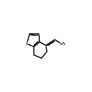 CCC/C=C1\CCCc2sccc21